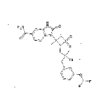 CC(O)(Cc1cccc(OC(F)F)c1)CC1C(C)(n2c(=O)[nH]c3cc(C(N)=O)ccc32)CS1(=O)=O